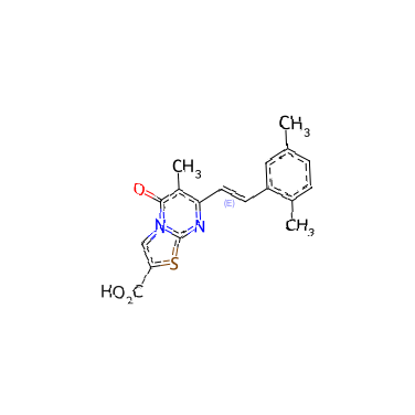 Cc1ccc(C)c(/C=C/c2nc3sc(C(=O)O)cn3c(=O)c2C)c1